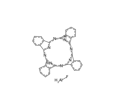 [F][AlH2].c1ccc2c(c1)-c1nc-2nc2[nH]c(nc3nc(nc4[nH]c(n1)c1ccccc41)-c1ccccc1-3)c1ccccc21